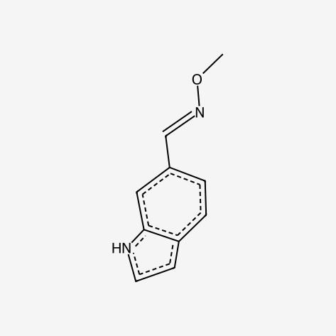 CON=Cc1ccc2cc[nH]c2c1